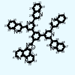 c1ccc2ncc(-c3cc(-c4cc(-c5cc(-c6cnc7ccccc7c6)nc(-c6cnc7ccccc7c6)c5)cc(-c5nc6c7cccnc7c7ncccc7c6o5)c4)cc(-c4cnc5ccccc5c4)n3)cc2c1